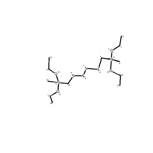 CCO[Si](C)(CSSSSC[Si](C)(OCC)OCC)OCC